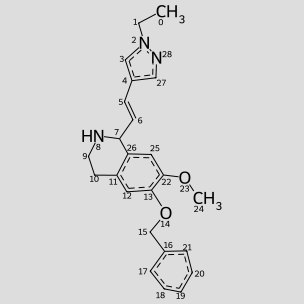 CCn1cc(C=CC2NCCc3cc(OCc4ccccc4)c(OC)cc32)cn1